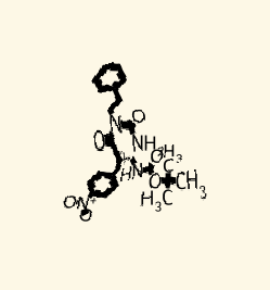 CC(C)(C)OC(=O)NC[C@@H](C(=O)N(CCc1ccccc1)C(N)=O)c1ccc([N+](=O)[O-])cc1